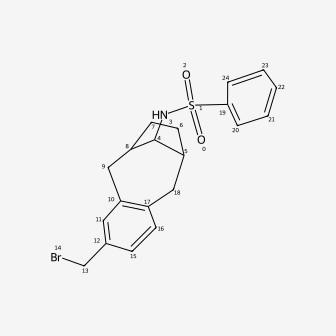 O=S(=O)(NC1C2CCC1Cc1cc(CBr)ccc1C2)c1ccccc1